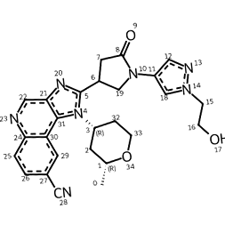 C[C@@H]1C[C@H](n2c(C3CC(=O)N(c4cnn(CCO)c4)C3)nc3cnc4ccc(C#N)cc4c32)CCO1